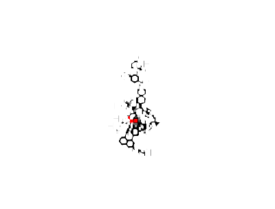 COCOc1cc(-c2ncc3c(N4CCCC(C)(C(=O)OC(C)(C)C)C4)nc(OCC4(CN5CCN(CC6CCC7(CC6)CCN(C(=O)c6ccc(OC)c(N8CCC(=O)NC8=O)c6)CC7)CC5)CC4)nc3c2F)c2c(C#C[Si](C(C)C)(C(C)C)C(C)C)c(F)ccc2c1